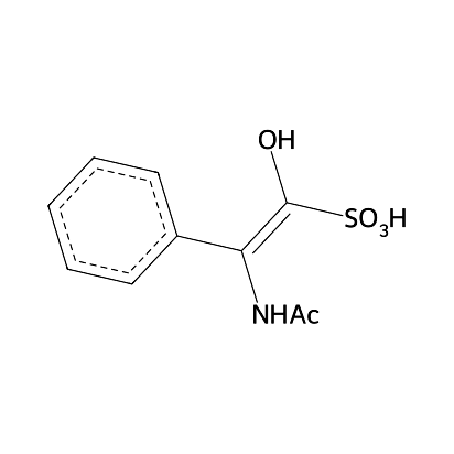 CC(=O)NC(=C(O)S(=O)(=O)O)c1ccccc1